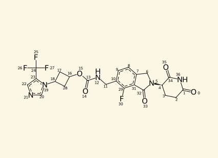 O=C1CC[C@@H](N2Cc3ccc(CNC(=O)OC4CC(n5cncc5C(F)(F)F)C4)c(F)c3C2=O)C(=O)N1